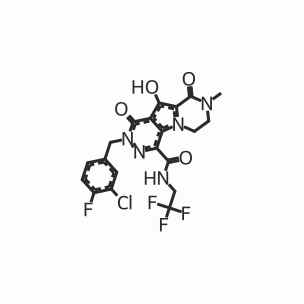 CN1CCn2c(c(O)c3c(=O)n(Cc4ccc(F)c(Cl)c4)nc(C(=O)NCC(F)(F)F)c32)C1=O